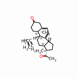 C=C.C=C.CC(=O)[C@H]1CC[C@H]2C3=CC=C4CC(=O)CC[C@]4(C)[C@H]3CC[C@]12C